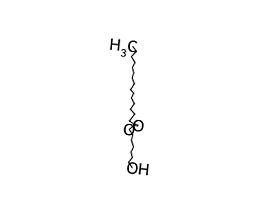 CCCCCCCCCCCCCCCC(=O)OCCCCCCO